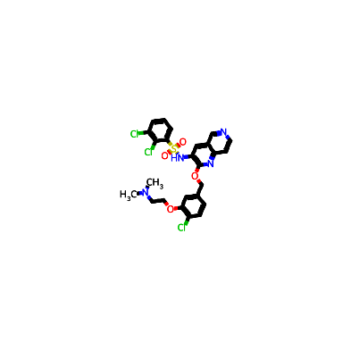 CN(C)CCOc1cc(COc2nc3ccncc3cc2NS(=O)(=O)c2cccc(Cl)c2Cl)ccc1Cl